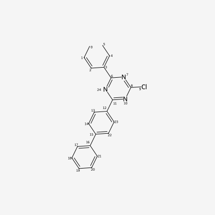 C/C=C\C(=C/C)c1nc(Cl)nc(-c2ccc(-c3ccccc3)cc2)n1